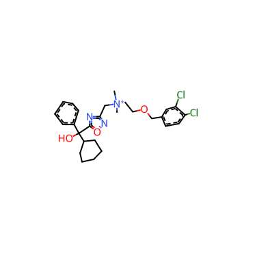 C[N+](C)(CCOCc1ccc(Cl)c(Cl)c1)Cc1noc(C(O)(c2ccccc2)C2CCCCC2)n1